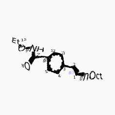 CCCCCCCC/C=C/c1ccc(C(=O)NOCC)cc1